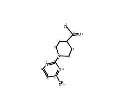 O=C(Cl)C1CCN(c2nccc(C(F)(F)F)n2)CC1